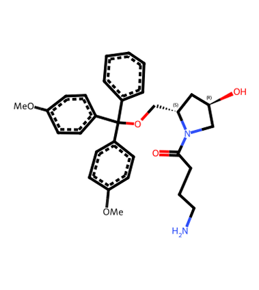 COc1ccc(C(OC[C@@H]2C[C@@H](O)CN2C(=O)CCCN)(c2ccccc2)c2ccc(OC)cc2)cc1